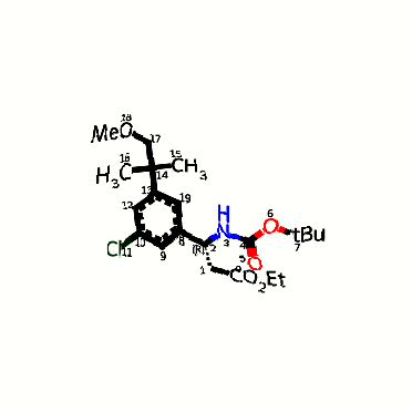 CCOC(=O)C[C@@H](NC(=O)OC(C)(C)C)c1cc(Cl)cc(C(C)(C)COC)c1